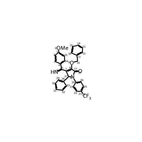 COc1ccc(C(=N)C2=C(OCc3ccccc3)C(=O)N(c3ccc(C(F)(F)F)cc3)C2c2ccccc2)cc1